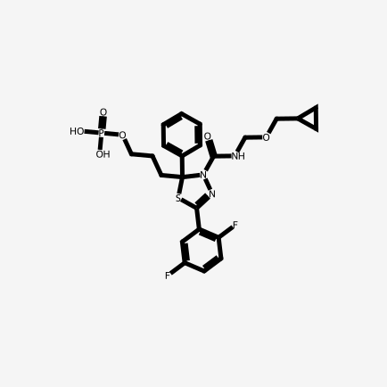 O=C(NCOCC1CC1)N1N=C(c2cc(F)ccc2F)SC1(CCCOP(=O)(O)O)c1ccccc1